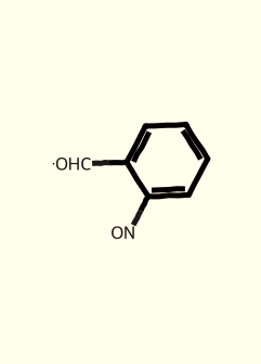 O=[C]c1ccccc1N=O